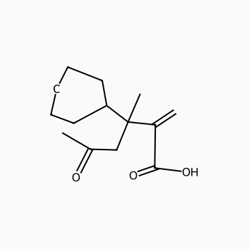 C=C(C(=O)O)C(C)(CC(C)=O)C1CCCCC1